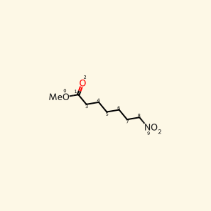 COC(=O)CCCCCC[N+](=O)[O-]